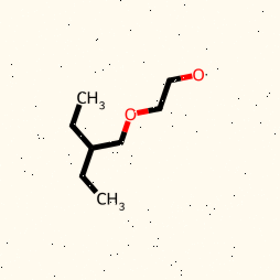 CCC(CC)COCC[O]